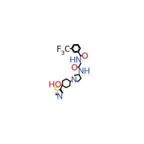 O=C(CNC(=O)c1cccc(C(F)(F)F)c1)NC1CCN(C2CCC(O)(c3cncs3)CC2)C1